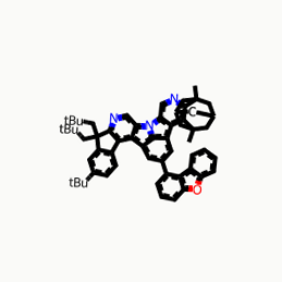 CC(C)(C)CC1(CC(C)(C)C)c2cc(C(C)(C)C)ccc2-c2c1ncc1c2c2cc(-c3cccc4oc5ccccc5c34)cc3c4c5c(ncc4n1c23)C1(C)CC2CC(C1)CC5(C)C2